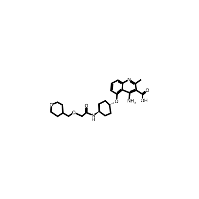 Cc1nc2cccc(O[C@H]3CC[C@H](NC(=O)COCC4CCOCC4)CC3)c2c(N)c1C(=O)O